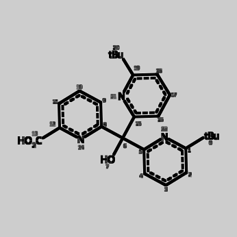 CC(C)(C)c1cccc(C(O)(c2cccc(C(=O)O)n2)c2cccc(C(C)(C)C)n2)n1